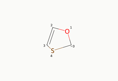 [CH]1OC=CS1